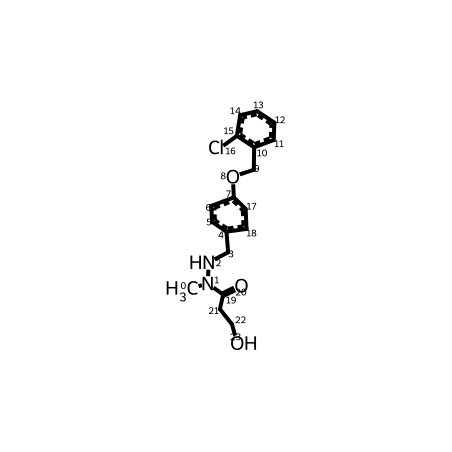 CN(NCc1ccc(OCc2ccccc2Cl)cc1)C(=O)CCO